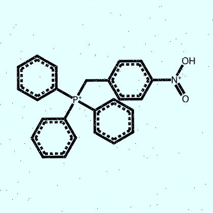 O=[N+](O)c1ccc(C[P+](c2ccccc2)(c2ccccc2)c2ccccc2)cc1